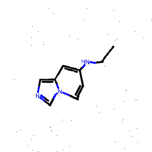 CCNc1ccn2cncc2c1